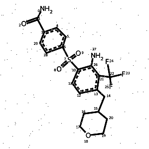 NC(=O)c1ccc(S(=O)(=O)c2ccc(CC3CCOCC3)c(C(F)(F)F)c2N)cc1